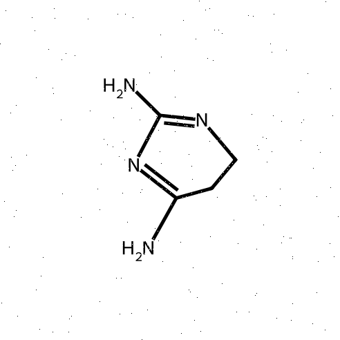 NC1=NC(N)=NCC1